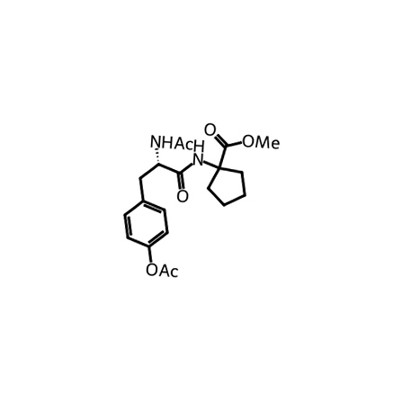 COC(=O)C1(NC(=O)[C@H](Cc2ccc(OC(C)=O)cc2)NC(C)=O)CCCC1